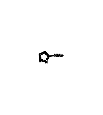 C[N]c1ccsn1